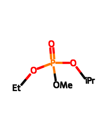 CCOP(=O)(OC)OC(C)C